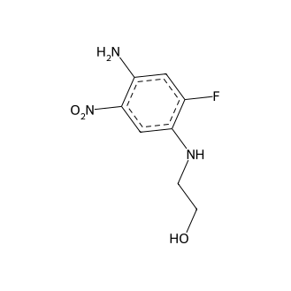 Nc1cc(F)c(NCCO)cc1[N+](=O)[O-]